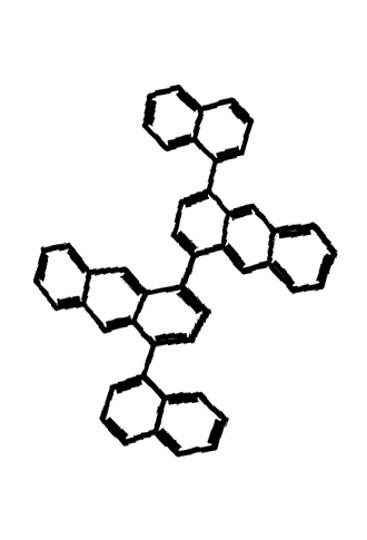 c1ccc2cc3c(-c4ccc(-c5cccc6ccccc56)c5cc6ccccc6cc45)ccc(-c4cccc5ccccc45)c3cc2c1